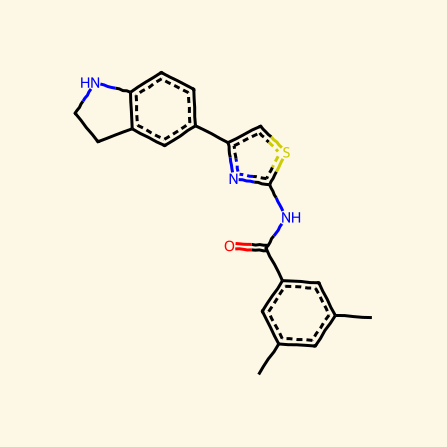 Cc1cc(C)cc(C(=O)Nc2nc(-c3ccc4c(c3)CCN4)cs2)c1